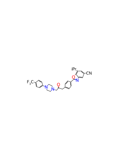 CC(C)c1cc(C#N)cc2nc(-c3ccc(CC(=O)CN4CCN(c5ccc(C(F)(F)F)cc5)CC4)cc3)oc12